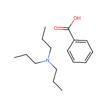 CCCN(CCC)CCC.O=C(O)c1ccccc1